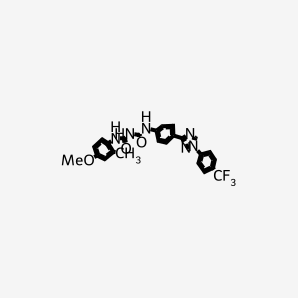 COc1ccc(NC(=O)NC(=O)Nc2ccc(-c3ncn(-c4ccc(C(F)(F)F)cc4)n3)cc2)c(C)c1